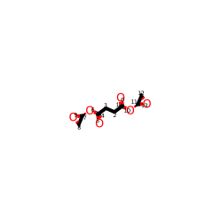 O=C(CCC(=O)O[C@H]1CO1)O[C@H]1CO1